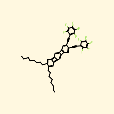 CCCCCCCCc1cc2c(cc1CCCCCCCC)c1cc3c4cc(C#Cc5c(F)c(F)c(F)c(F)c5F)c(C#Cc5c(F)c(F)c(F)c(F)c5F)cc4c3cc21